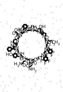 CCCC[C@H]1C(=O)N2CCC[C@@H]2C(=O)N[C@@H](CC(=O)O)C(=O)N[C@@H](C(C)C)C(=O)N(C)[C@@H](Cc2ccccc2)C(=O)N[C@@H](CCC(=O)O)C(=O)N2CCCC[C@@H]2C(=O)N[C@@H](Cc2c[nH]c3ccccc23)C(=O)N[C@@H](Cc2ccc(O)cc2)C(=O)N[C@@H](CCC(N)=O)C(=O)N[C@H](C(=O)NCC(N)=O)CSCC(=O)N[C@@H](Cc2cc(F)c(F)c(F)c2)C(=O)N(C)[C@@H](Cc2ccc(F)cc2)C(=O)N1C